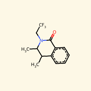 CC1c2ccccc2C(=O)N(CC(F)(F)F)C1C